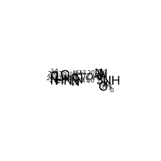 CCC(=O)Nc1nnc([C@H]2CC[C@@H](Cc3ccc(NC(=O)Cc4ccccn4)nn3)C2)s1